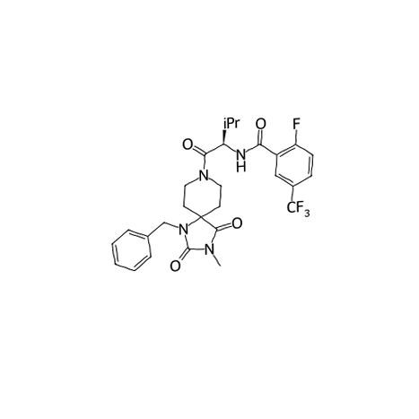 CC(C)[C@@H](NC(=O)c1cc(C(F)(F)F)ccc1F)C(=O)N1CCC2(CC1)C(=O)N(C)C(=O)N2Cc1ccccc1